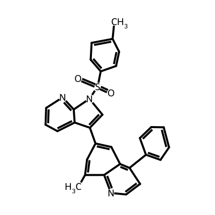 Cc1ccc(S(=O)(=O)n2cc(-c3cc(C)c4nccc(-c5ccccc5)c4c3)c3cccnc32)cc1